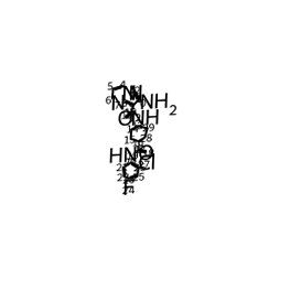 Nc1nn2cccnc2c1C(=O)N[C@H]1CC[C@H](C(=O)Nc2ccc(F)cc2Cl)CC1